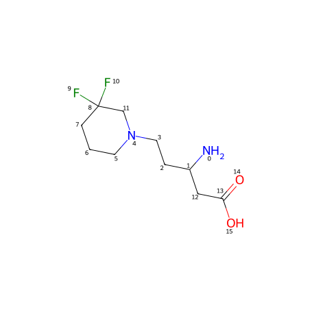 NC(CCN1CCCC(F)(F)C1)CC(=O)O